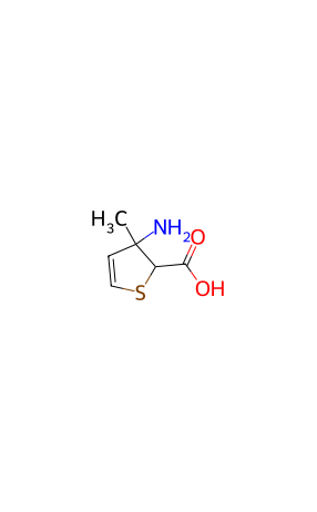 CC1(N)C=CSC1C(=O)O